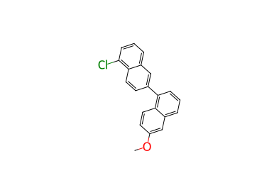 COc1ccc2c(-c3ccc4c(Cl)cccc4c3)cccc2c1